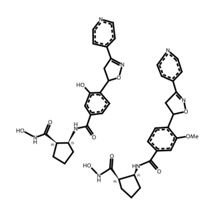 COc1cc(C(=O)N[C@H]2CCC[C@H]2C(=O)NO)ccc1C1CC(c2ccncc2)=NO1.O=C(N[C@H]1CCC[C@H]1C(=O)NO)c1ccc(C2CC(c3ccncc3)=NO2)c(O)c1